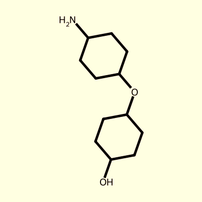 NC1CCC(OC2CCC(O)CC2)CC1